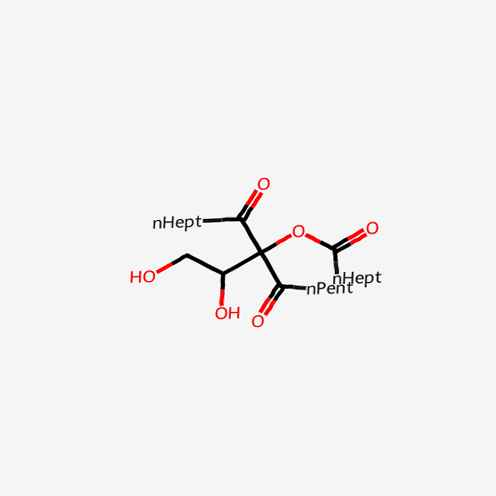 CCCCCCCC(=O)OC(C(=O)CCCCC)(C(=O)CCCCCCC)C(O)CO